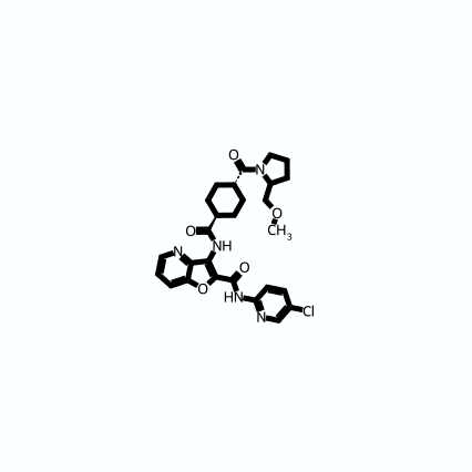 COCC1CCCN1C(=O)[C@H]1CC[C@H](C(=O)Nc2c(C(=O)Nc3ccc(Cl)cn3)oc3cccnc23)CC1